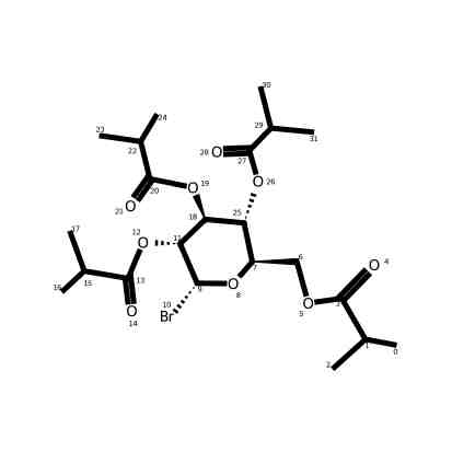 CC(C)C(=O)OC[C@H]1O[C@H](Br)[C@H](OC(=O)C(C)C)[C@@H](OC(=O)C(C)C)[C@@H]1OC(=O)C(C)C